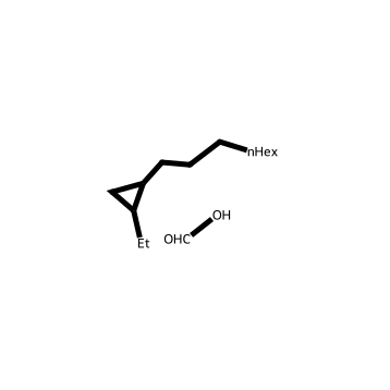 CCCCCCCCCC1CC1CC.O=CO